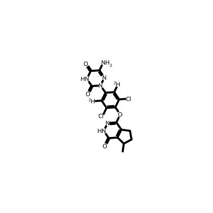 [2H]c1c(Cl)c(Oc2n[nH]c(=O)c3c2CCC3C)c(Cl)c([2H])c1-n1nc(N)c(=O)[nH]c1=O